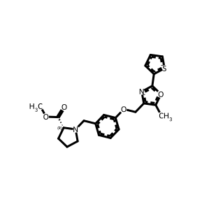 COC(=O)[C@H]1CCCN1Cc1cccc(OCc2nc(-c3cccs3)oc2C)c1